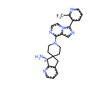 N[C@@H]1c2ncccc2CC12CCN(c1nccn3c(-c4cccnc4C(F)(F)F)ncc13)CC2